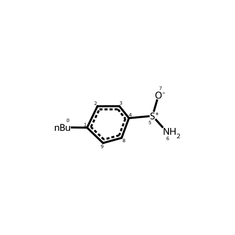 CCCCc1ccc([S+](N)[O-])cc1